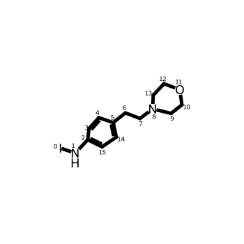 INc1ccc(CCN2CCOCC2)cc1